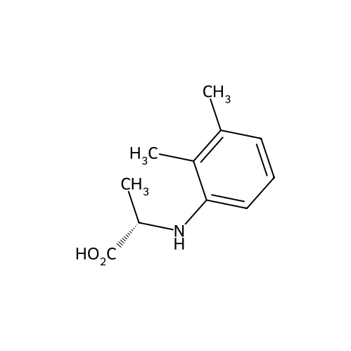 Cc1cccc(N[C@@H](C)C(=O)O)c1C